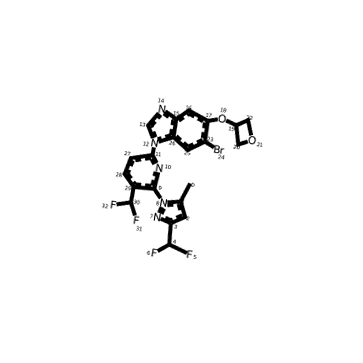 Cc1cc(C(F)F)nn1-c1nc(-n2cnc3cc(OC4COC4)c(Br)cc32)ccc1C(F)F